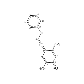 CCCC1=CC(=O)C(O)=CC1=C=CCc1ccccc1